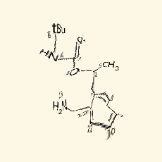 CC(OC(=O)NC(C)(C)C)c1ccccc1N